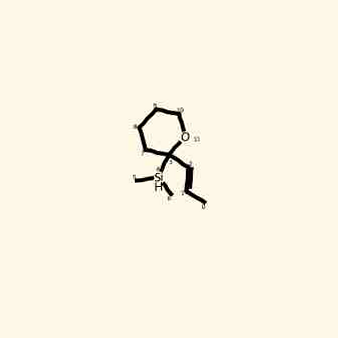 C[C]=CC1([SiH](C)C)CCCCO1